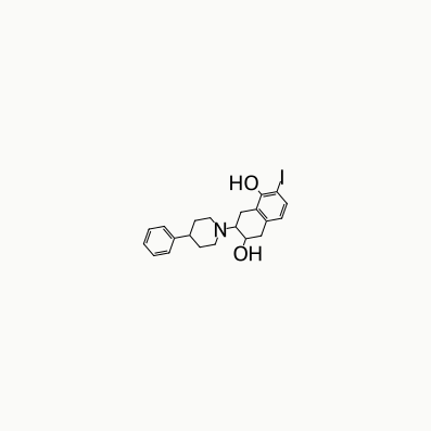 Oc1c(I)ccc2c1CC(N1CCC(c3ccccc3)CC1)C(O)C2